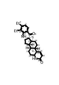 CCc1ccc(C(=O)[C@H]2CC[C@H]3[C@@H]4CCC5NC(=O)C=C[C@]5(C)[C@H]4CC[C@]23C)c(N)c1CC